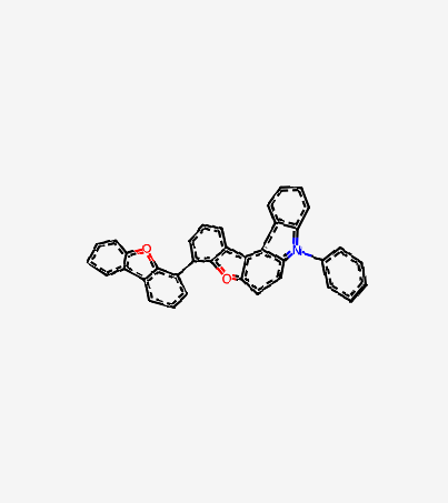 c1ccc(-n2c3ccccc3c3c4c(ccc32)oc2c(-c3cccc5c3oc3ccccc35)cccc24)cc1